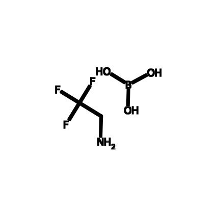 NCC(F)(F)F.OB(O)O